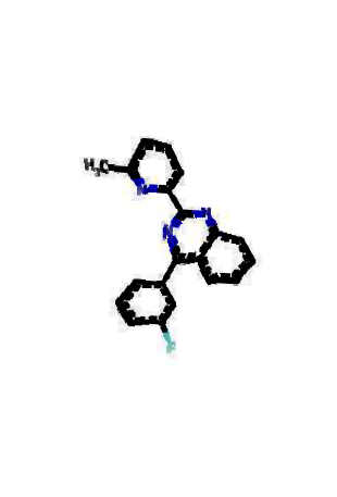 Cc1cccc(-c2nc(-c3cccc(F)c3)c3ccccc3n2)n1